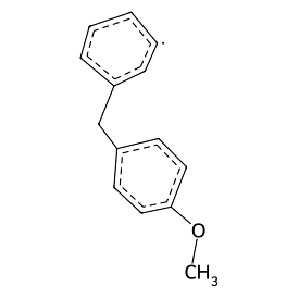 COc1ccc(Cc2c[c]ccc2)cc1